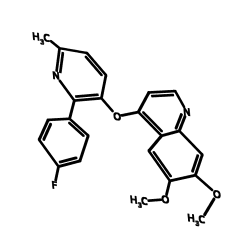 COc1cc2nccc(Oc3ccc(C)nc3-c3ccc(F)cc3)c2cc1OC